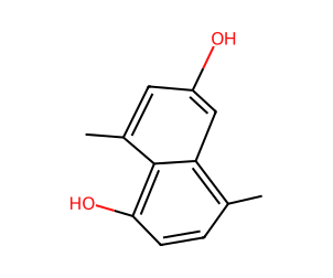 Cc1ccc(O)c2c(C)cc(O)cc12